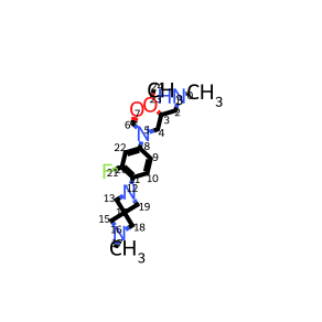 CNCC(CN(C=O)c1ccc(N2CC3(CN(C)C3)C2)c(F)c1)OC